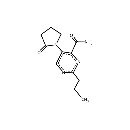 CCCc1ncc(N2CCCC2=O)c(C(N)=O)n1